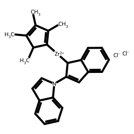 CC1=C(C)C(C)[C]([Zr+2][CH]2C(n3ccc4ccccc43)=Cc3ccccc32)=C1C.[Cl-].[Cl-]